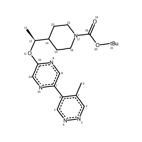 Cc1cnncc1-c1cnc(O[C@@H](C)C2CCN(C(=O)OC(C)(C)C)CC2)cn1